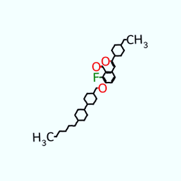 CCCCCCC1CCC(C2CCC(COc3ccc4cc(C5CCC(CC)CC5)oc(=O)c4c3F)CC2)CC1